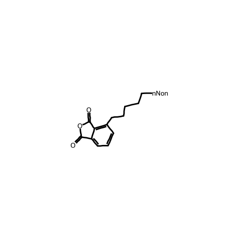 CCCCCCCCCCCCCCc1cccc2c1C(=O)OC2=O